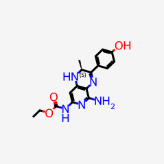 CCOC(=O)Nc1cc2c(c(N)n1)N=C(c1ccc(O)cc1)[C@H](C)N2